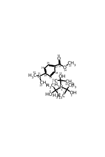 CC(C)(O)N(C(C)(C)O)C(C)(C)O.COC(=O)c1ccc(N(C)C)cc1